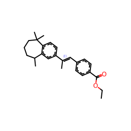 CCOC(=O)c1ccc(/C=C(\C)c2ccc3c(c2)C(C)CCCC3(C)C)cc1